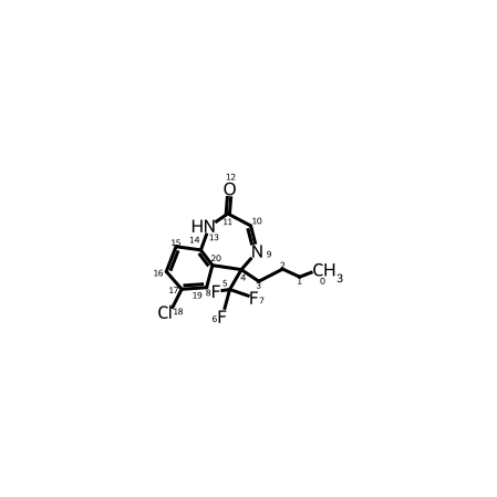 CCCCC1(C(F)(F)F)N=CC(=O)Nc2ccc(Cl)cc21